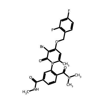 CNC(=O)c1ccc(C(=O)N(C)C)c(-n2c(C)cc(OCc3ccc(F)cc3F)c(Br)c2=O)c1